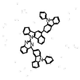 C1=CC(c2cc3c4ccccc4n(-c4nc(-c5ccc6c(c5)c5ccccc5n6-c5ccccc5)c5ccccc5n4)c3c3ccccc23)Cc2c1c1ccccc1n2-c1ccccc1